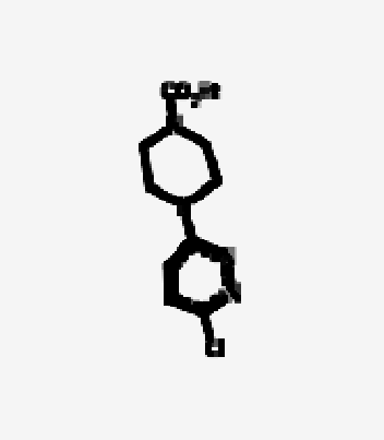 CCOC(=O)N1CCN(c2ccc(Cl)nn2)CC1